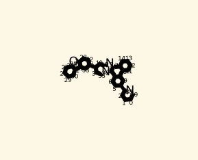 c1ccc(-c2ccc3c(c2)c2ccccc2c2nc4cc(-c5ccc6oc7ccccc7c6c5)ccn4c32)nc1